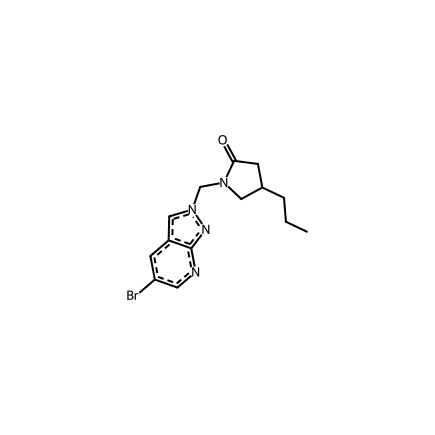 CCCC1CC(=O)N(Cn2cc3cc(Br)cnc3n2)C1